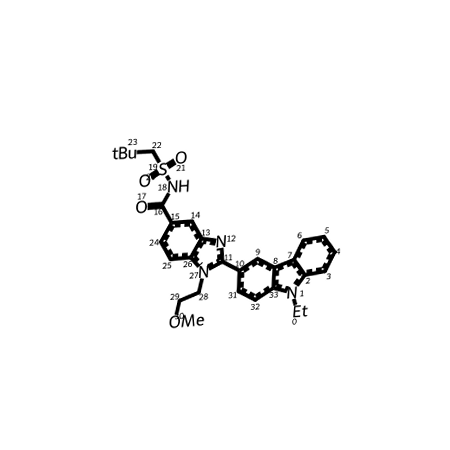 CCn1c2ccccc2c2cc(-c3nc4cc(C(=O)NS(=O)(=O)CC(C)(C)C)ccc4n3CCOC)ccc21